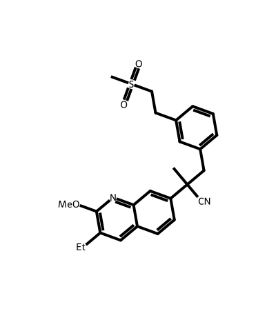 CCc1cc2ccc(C(C)(C#N)Cc3cccc(CCS(C)(=O)=O)c3)cc2nc1OC